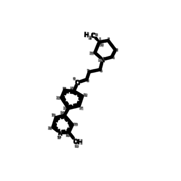 C[C@H]1CCCN(CCCOc2ccc(-c3ccnc(O)c3)cc2)C1